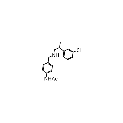 CC(=O)Nc1ccc(CNCC(C)c2cccc(Cl)c2)cc1